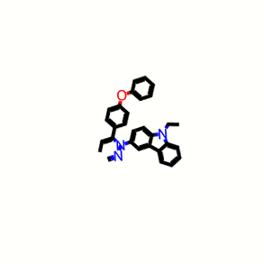 C=NN(/C(=C\C)c1ccc(Oc2ccccc2)cc1)c1ccc2c(c1)c1ccccc1n2CC